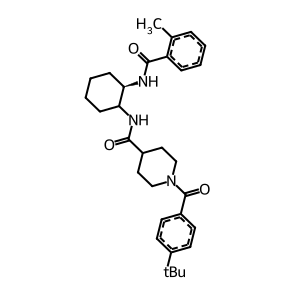 Cc1ccccc1C(=O)N[C@@H]1CCCCC1NC(=O)C1CCN(C(=O)c2ccc(C(C)(C)C)cc2)CC1